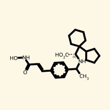 CC(N[C@H](C(=O)O)C1(C2CCCC2)CCCCC1)c1ccc(C=CC(=O)NO)cc1